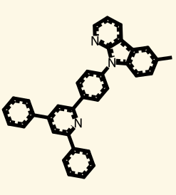 Cc1ccc2c(c1)c1cccnc1n2-c1ccc(-c2cc(-c3ccccc3)cc(-c3ccccc3)n2)cc1